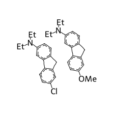 CCN(CC)c1ccc2c(c1)-c1ccc(Cl)cc1C2.CCN(CC)c1ccc2c(c1)-c1ccc(OC)cc1C2